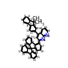 CC1(C)c2ccccc2-c2ccc(-c3cc(-c4cccc5c4-c4ccccc4C54c5ccccc5-c5ccccc54)nc4ncccc34)cc21